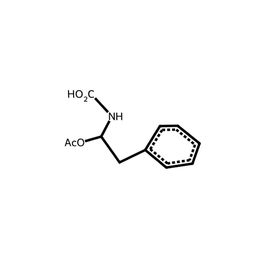 CC(=O)OC(Cc1ccccc1)NC(=O)O